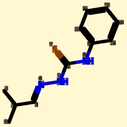 CC(C)/C=N/NC(=S)Nc1ccccc1